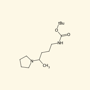 CC(CCCNC(=O)OC(C)(C)C)N1CCCC1